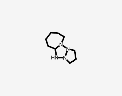 C1CCC2NN3CCCN3N2CC1